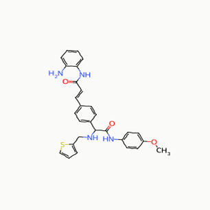 COc1ccc(NC(=O)C(NCc2cccs2)c2ccc(C=CC(=O)Nc3ccccc3N)cc2)cc1